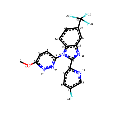 COc1ccc(-n2c(-c3ccc(F)cn3)nc3cc(C(F)(F)F)ccc32)nn1